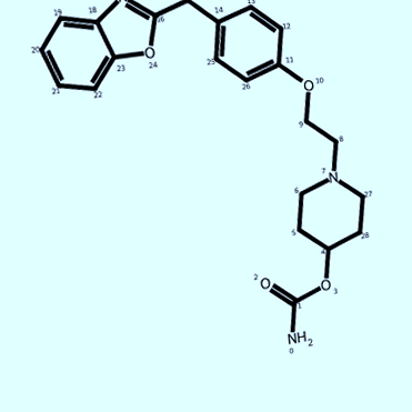 NC(=O)OC1CCN(CCOc2ccc(Cc3nc4ccccc4o3)cc2)CC1